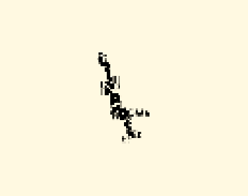 CC/C=C\C=C/CCCNC(=O)C(=O)Nc1ccc(Oc2ccnc3cc(OCCCN(CC)CC)c(OC)cc23)c(F)c1